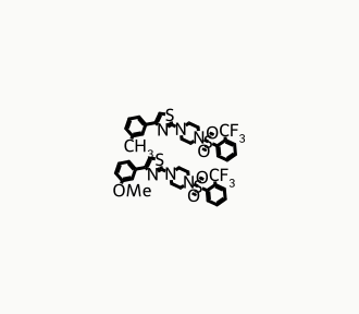 COc1cccc(-c2csc(N3CCN(S(=O)(=O)c4ccccc4C(F)(F)F)CC3)n2)c1.Cc1cccc(-c2csc(N3CCN(S(=O)(=O)c4ccccc4C(F)(F)F)CC3)n2)c1